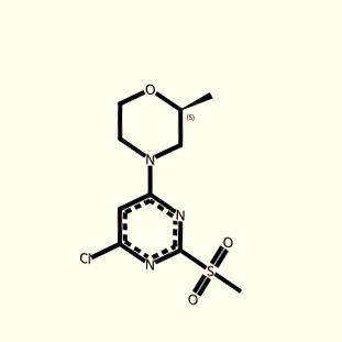 C[C@H]1CN(c2cc(Cl)nc(S(C)(=O)=O)n2)CCO1